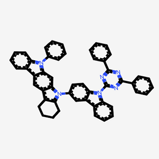 c1ccc(-c2nc(-c3ccccc3)nc(-n3c4ccccc4c4cc(-n5c6c(c7cc8c9ccccc9n(-c9ccccc9)c8cc75)CCCC6)ccc43)n2)cc1